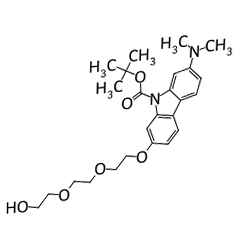 CN(C)c1ccc2c3ccc(OCCOCCOCCO)cc3n(C(=O)OC(C)(C)C)c2c1